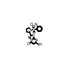 CC(C)c1cc(=O)n2nc(C3CCCN3S(=O)(=O)c3ccccc3[N+](=O)[O-])sc2n1